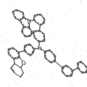 C1=CC2c3cccc(-c4ccc(N(c5ccc(-c6cccc(-c7ccccc7)c6)cc5)c5ccc(-c6ccccc6-n6c7ccccc7c7ccccc76)cc5)cc4)c3OC2CC1